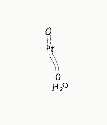 O.[O]=[Pt]=[O]